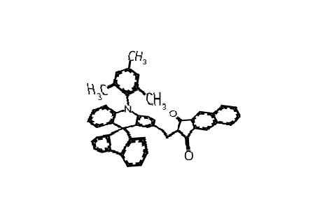 Cc1cc(C)c(N2c3ccccc3C3(c4ccccc4-c4ccccc43)c3cc(CC4C(=O)c5cc6ccccc6cc5C4=O)ccc32)c(C)c1